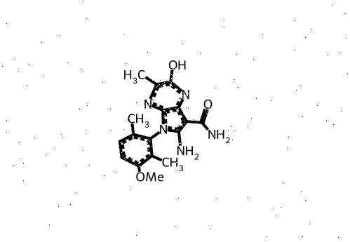 COc1ccc(C)c(-n2c(N)c(C(N)=O)c3nc(O)c(C)nc32)c1C